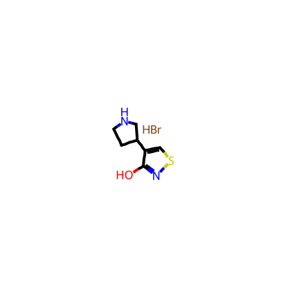 Br.Oc1nscc1C1CCNC1